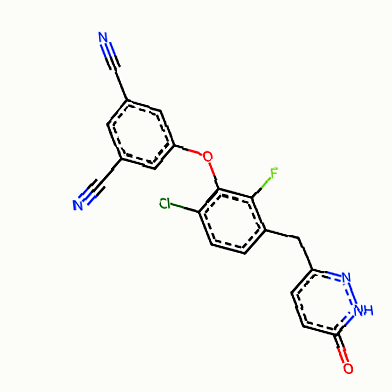 N#Cc1cc(C#N)cc(Oc2c(Cl)ccc(Cc3ccc(=O)[nH]n3)c2F)c1